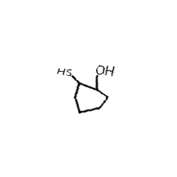 OC1CCCCC1S